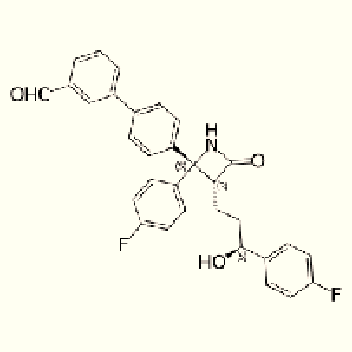 O=Cc1cccc(-c2ccc([C@@]3(c4ccc(F)cc4)NC(=O)[C@@H]3CC[C@H](O)c3ccc(F)cc3)cc2)c1